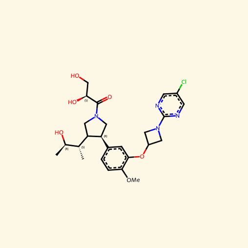 COc1ccc([C@@H]2CN(C(=O)[C@@H](O)CO)CC2[C@H](C)[C@@H](C)O)cc1OC1CN(c2ncc(Cl)cn2)C1